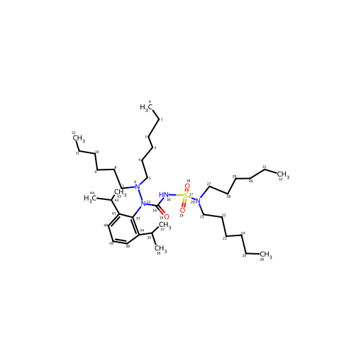 CCCCCCN(CCCCCC)N(C(=O)NS(=O)(=O)N(CCCCCC)CCCCCC)c1c(C(C)C)cccc1C(C)C